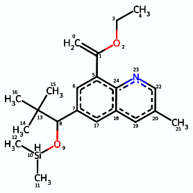 C=C(OCC)c1cc(C(O[SiH](C)C)C(C)(C)C)cc2cc(C)cnc12